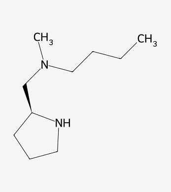 CCCCN(C)C[C@@H]1CCCN1